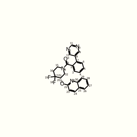 O=C(c1ccccc1-c1cncnc1)N1CCC(F)(F)[C@@H](Oc2ccc3ccccc3n2)C1